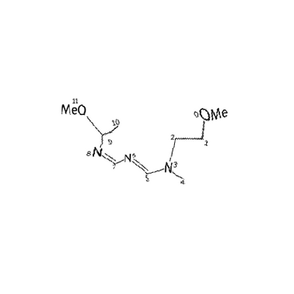 COCCN(C)/C=N/C=N\C(C)OC